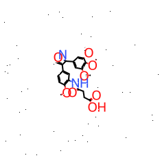 COc1ccc(-c2conc2-c2cc(OC)c(OC)c(OC)c2)cc1NC(=O)CCC(=O)O